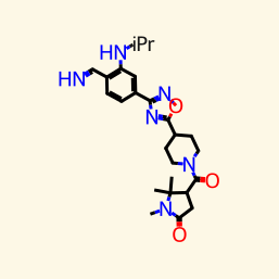 CC(C)Nc1cc(-c2noc(C3CCN(C(=O)C4CC(=O)N(C)C4(C)C)CC3)n2)ccc1C=N